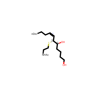 CCCCCCCCCCCC/C=C\[C@@H](SCCNC(C)=O)[C@@H](O)CCCCO